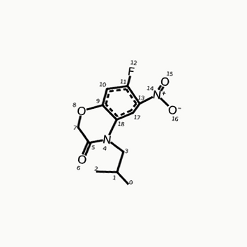 CC(C)CN1C(=O)COc2cc(F)c([N+](=O)[O-])cc21